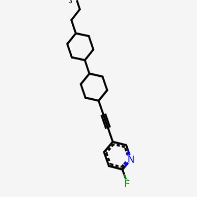 CCCC1CCC(C2CCC(C#Cc3ccc(F)nc3)CC2)CC1